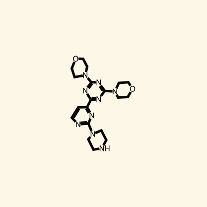 c1cc(-c2nc(N3CCOCC3)nc(N3CCOCC3)n2)nc(N2CCNCC2)n1